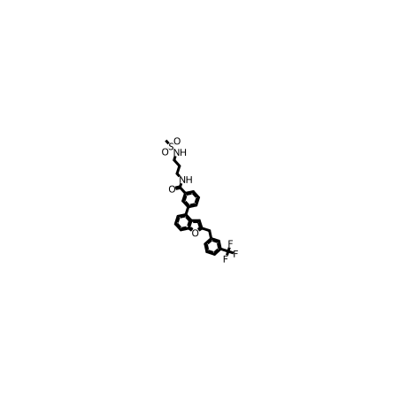 CS(=O)(=O)NCCCNC(=O)c1cccc(-c2cccc3oc(Cc4cccc(C(F)(F)F)c4)cc23)c1